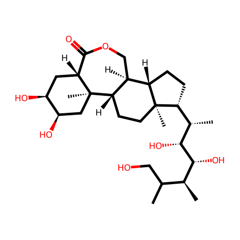 CC(CO)[C@H](C)[C@@H](O)[C@H](O)[C@@H](C)[C@H]1CC[C@H]2[C@@H]3COC(=O)[C@H]4C[C@H](O)[C@H](O)C[C@]4(C)[C@H]3CC[C@]12C